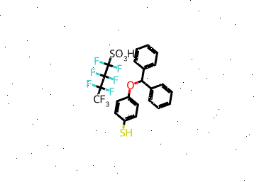 O=S(=O)(O)C(F)(F)C(F)(F)C(F)(F)C(F)(F)F.Sc1ccc(OC(c2ccccc2)c2ccccc2)cc1